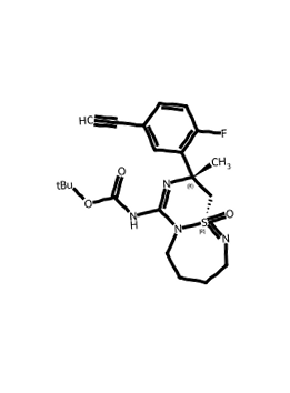 C#Cc1ccc(F)c([C@]2(C)C[S@]3(=O)=NCCCCN3C(NC(=O)OC(C)(C)C)=N2)c1